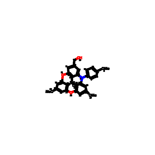 COc1ccc(N2c3cc(CO)cc4c3[Si]3(C)c5c(cc(OC)cc5Oc5cc(OC)cc2c53)O4)cc1